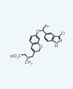 CC(C)C(Oc1ccc2c(c1)OCC(CN(C)CC(=O)O)=C2)c1ccc2[nH]nc(Cl)c2c1